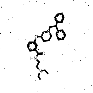 CCN(CC)CCNC(=O)c1cccc(OC2CCCN(CC(c3ccccc3)c3ccccc3)C2)c1